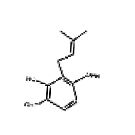 COc1ccc(C=O)c(O)c1CC=C(C)C